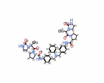 CC(C)(C)C(C(=O)N1CCC[C@H]1C(=O)Nc1ccc(CN(Cc2ccc(NC(=O)[C@@H]3CCCN3C(=O)[C@@H](N3CCNC3=O)C(C)(C)C)cc2)c2ccccc2)cc1)N1CCNC1=O